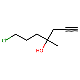 C#CCC(C)(O)CCCCl